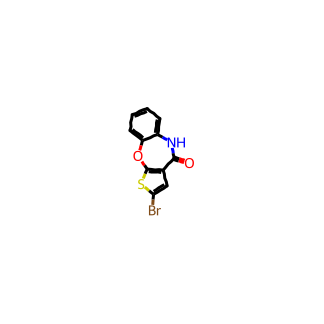 O=C1Nc2ccccc2Oc2sc(Br)cc21